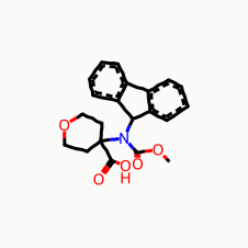 COC(=O)N(C1c2ccccc2-c2ccccc21)C1(C(=O)O)CCOCC1